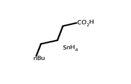 CCCCCCCC(=O)O.[SnH4]